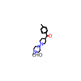 Cc1ccc(C(=O)C2CCN(N3CCN(C=O)CC3)CC2)cc1